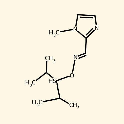 CC(C)[SiH](ON=Cc1nccn1C)C(C)C